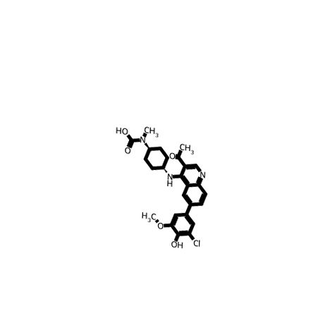 COc1cc(-c2ccc3ncc(C(C)=O)c(N[C@H]4CC[C@H](N(C)C(=O)O)CC4)c3c2)cc(Cl)c1O